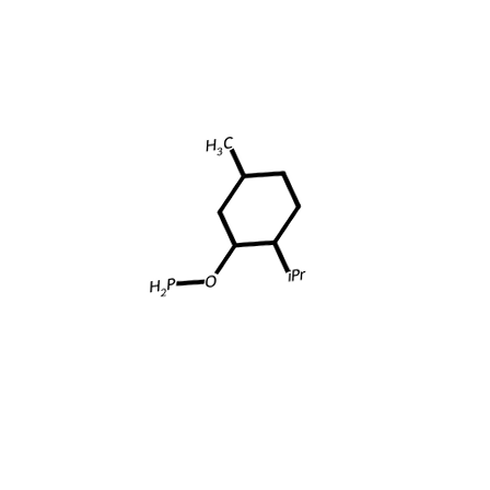 CC1CCC(C(C)C)C(OP)C1